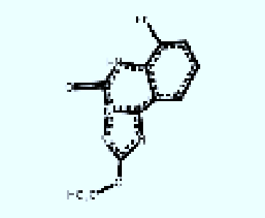 CCc1cccc2c1[nH]c(=O)n1nc(OC(=O)O)nc21